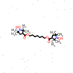 CC1(C)CC(C(=O)OCCCCCCCOC(=O)C2CC(C)(C)N(O)C2(C)C)C(C)(C)N1O